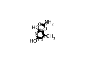 Cc1cc(O)nc(O)c1OC(N)=O